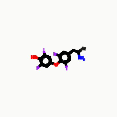 CC(=O)C(N)Cc1cc(I)c(Oc2cc(I)c(O)c(I)c2)c(I)c1